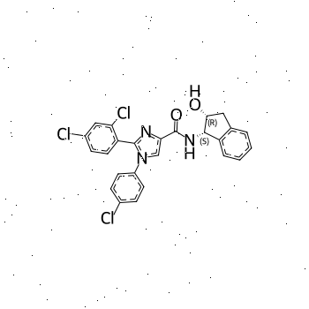 O=C(N[C@H]1c2ccccc2C[C@H]1O)c1cn(-c2ccc(Cl)cc2)c(-c2ccc(Cl)cc2Cl)n1